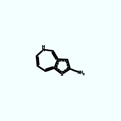 Nc1cc2c(s1)=CC=CNC=2